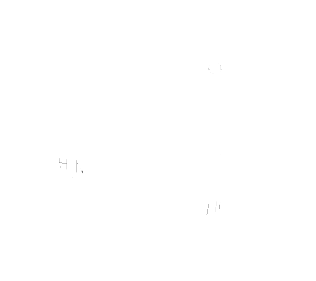 COc1cccc(N)c1.Cl